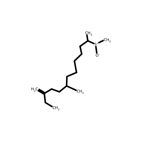 C=C(CC)CCC(C)CCCCCC(C)[S+](C)[O-]